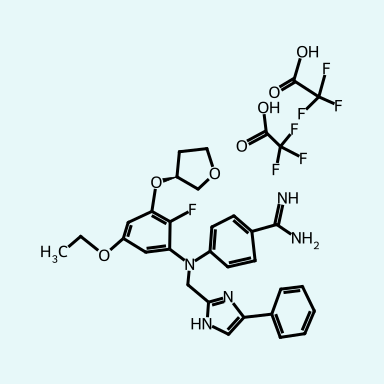 CCOc1cc(O[C@H]2CCOC2)c(F)c(N(Cc2nc(-c3ccccc3)c[nH]2)c2ccc(C(=N)N)cc2)c1.O=C(O)C(F)(F)F.O=C(O)C(F)(F)F